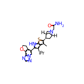 Cc1c([C@@H]2C[C@@H]3C[C@H]2CN3CC(N)=O)sc2[nH]c(-c3cn4ncnc4c4c3CCO4)c(C(C)C)c12